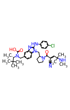 CNC(C)(C)C=C(C#N)C(=O)N1CCCC1Cn1c(Nc2ccc(Cl)cc2)nc2cc(CN(C(=O)O)[C@@H](C)C(C)(C)C)ccc21